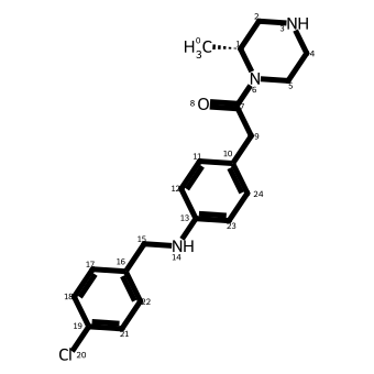 C[C@@H]1CNCCN1C(=O)Cc1ccc(NCc2ccc(Cl)cc2)cc1